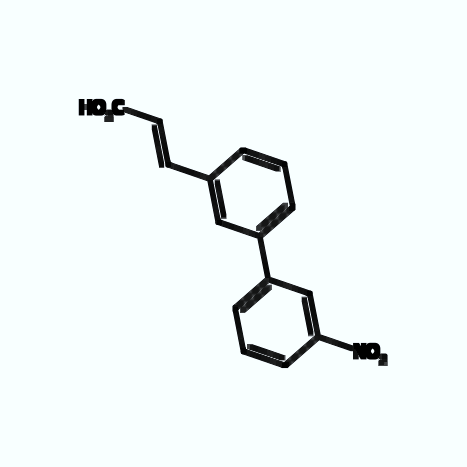 O=C(O)C=Cc1cccc(-c2cccc([N+](=O)[O-])c2)c1